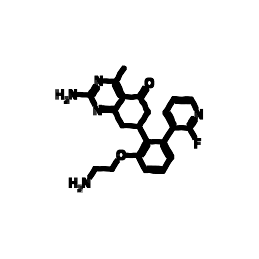 Cc1nc(N)nc2c1C(=O)CC(c1c(OCCN)cccc1-c1cccnc1F)C2